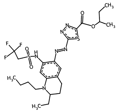 CCCCN1c2cc(NS(=O)(=O)CC(F)(F)F)c(N=Nc3nnc(C(=O)OC(C)CC)s3)cc2CCC1CC